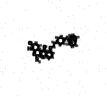 Cc1nc2cccc(OCCN3CCN(CC45CC6CC(CC(C6)C4)C5)CC3)c2c(=O)n1C1CCC(=O)NC1=O